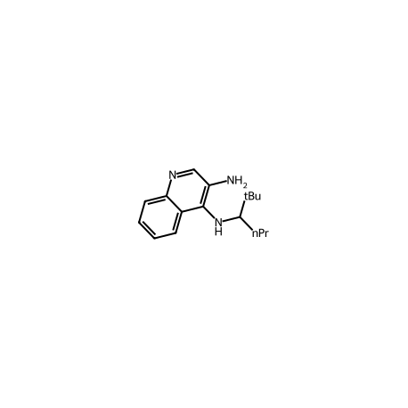 [CH2]CCC(Nc1c(N)cnc2ccccc12)C(C)(C)C